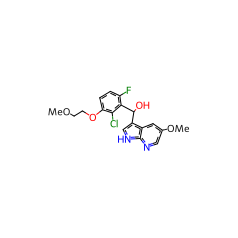 COCCOc1ccc(F)c(C(O)c2c[nH]c3ncc(OC)cc23)c1Cl